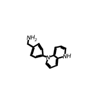 NCc1ccc(N2C=CC=C3NC=CC=C32)cc1